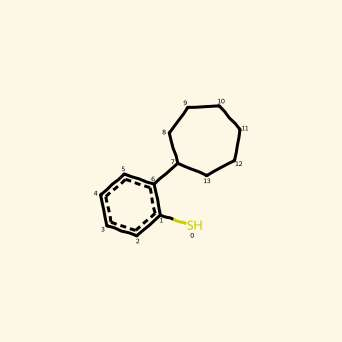 Sc1ccccc1C1CCCCCC1